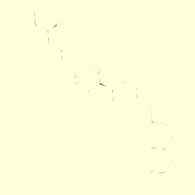 CC(=O)[C@@H](N)CC(=O)Oc1ccc([C@@H]2CCN([C@@H]3CCN(Cc4ccc(C)cc4)C3=O)C[C@H]2F)cc1